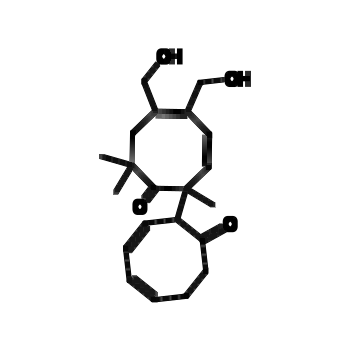 CC1(C)C/C(CO)=C(CO)\C=C/C(C)(C2/C=C\C=C/CCC2=O)C1=O